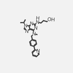 CC(C)n1cnc2c(N(C)Cc3ccc(-c4ccccn4)cc3)nc(NCCCO)nc21